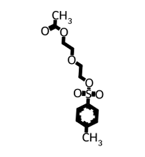 CC(=O)OCCOCCOS(=O)(=O)c1ccc(C)cc1